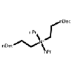 CCCCCCCCCCCC[N+](CCC)(CCC)CCCCCCCCCCCC